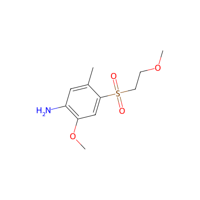 COCCS(=O)(=O)c1cc(OC)c(N)cc1C